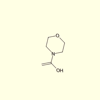 C=C(O)N1CCOCC1